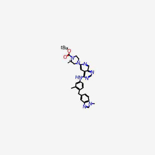 Cc1cc(Nc2ncnc3cnc(N4CCN(C(=O)OC(C)(C)C)[C@H](C)C4)cc23)ccc1Cc1ccc2c(c1)ncn2C